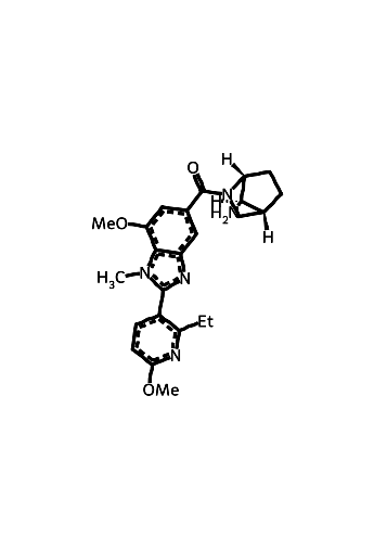 CCc1nc(OC)ccc1-c1nc2cc(C(=O)N3C[C@H]4CC[C@@H]3[C@@H]4N)cc(OC)c2n1C